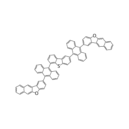 c1ccc2cc3c(cc2c1)oc1ccc(-c2c4ccccc4c(-c4ccc5sc6c(-c7c8ccccc8c(-c8ccc9oc%10cc%11ccccc%11cc%10c9c8)c8ccccc78)cccc6c5c4)c4ccccc24)cc13